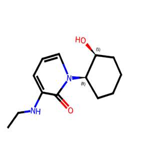 CCNc1cccn([C@@H]2CCCC[C@@H]2O)c1=O